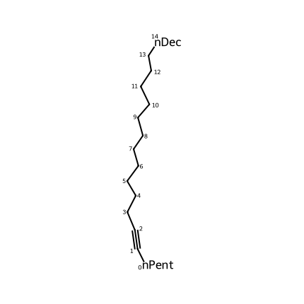 [CH2]CCCCC#CCCCCCCCCCCCCCCCCCCCC[CH2]